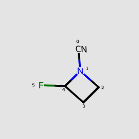 N#CN1CCC1F